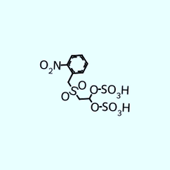 O=[N+]([O-])c1ccccc1CS(=O)(=O)CC(OS(=O)(=O)O)OS(=O)(=O)O